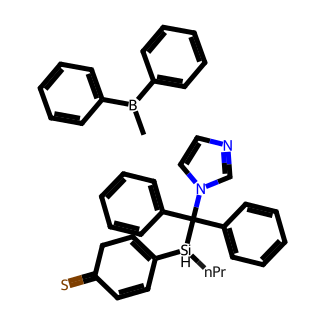 CB(c1ccccc1)c1ccccc1.CCC[SiH](C1=CCC(=S)C=C1)C(c1ccccc1)(c1ccccc1)n1ccnc1